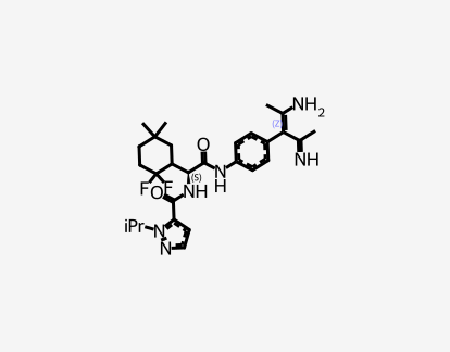 CC(=N)/C(=C(/C)N)c1ccc(NC(=O)[C@@H](NC(=O)c2ccnn2C(C)C)C2CC(C)(C)CCC2(F)F)cc1